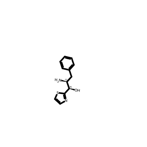 N[C@@H](Cc1ccccc1)[C@@H](O)c1nccs1